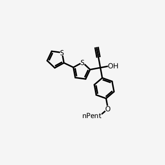 C#CC(O)(c1ccc(OCCCCC)cc1)c1ccc(-c2cccs2)s1